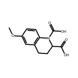 COc1ccc2c(c1)CCC(C(=O)O)N2C(=O)O